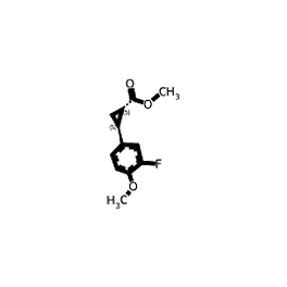 COC(=O)[C@H]1C[C@@H]1c1ccc(OC)c(F)c1